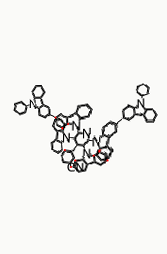 N#Cc1cccc(-c2c(-n3c4ccccc4c4ccccc43)c(-n3c4ccccc4c4cc(-c5ccc6c(c5)c5ccccc5n6-c5ccccc5)ccc43)nc(-n3c4ccccc4c4cc(-c5ccc6c(c5)c5ccccc5n6-c5ccccc5)ccc43)c2-n2c3ccccc3c3ccccc32)c1